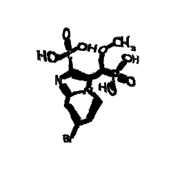 COC(c1c(P(=O)(O)O)nc2cc(Br)ccn12)P(=O)(O)O